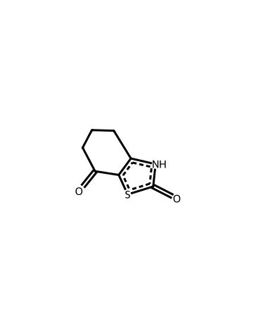 O=C1CCCc2[nH]c(=O)sc21